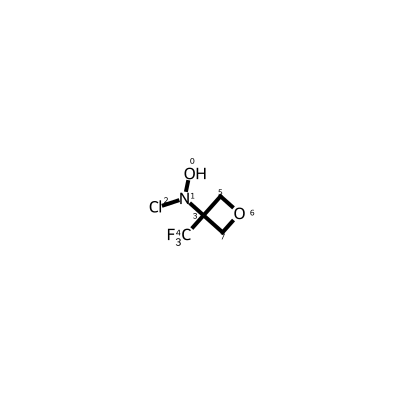 ON(Cl)C1(C(F)(F)F)COC1